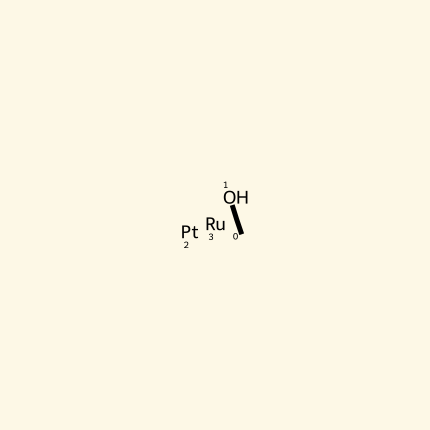 CO.[Pt].[Ru]